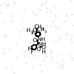 CC(C)(C)c1ccc(NC(=O)C(NC(=O)O)C2CCC(F)(F)CC2)cc1F